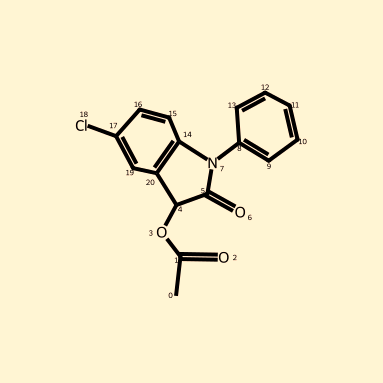 CC(=O)OC1C(=O)N(c2ccccc2)c2ccc(Cl)cc21